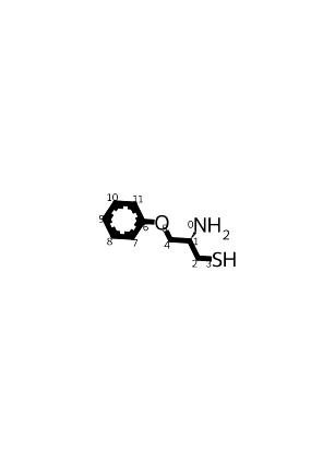 N[C@H](CS)COc1ccccc1